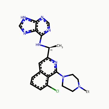 CCN1CCN(c2nc([C@H](C)Nc3ncnc4[nH]cnc34)cc3cccc(Cl)c23)CC1